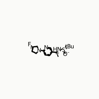 C[C@H](N[S+]([O-])C(C)(C)C)c1ccc(N2CC[C@@H](F)C2)nc1